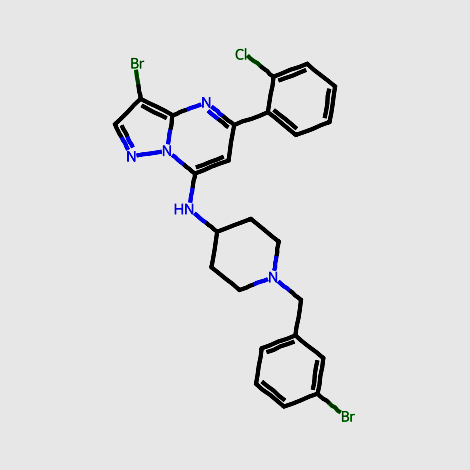 Clc1ccccc1-c1cc(NC2CCN(Cc3cccc(Br)c3)CC2)n2ncc(Br)c2n1